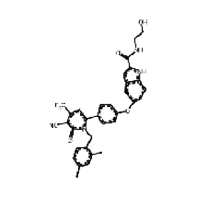 Cc1ccc(Cn2c(-c3ccc(Oc4ccc5[nH]c(C(=O)NCCO)cc5c4)cc3)cc(C(F)(F)F)c(C#N)c2=O)c(C)c1